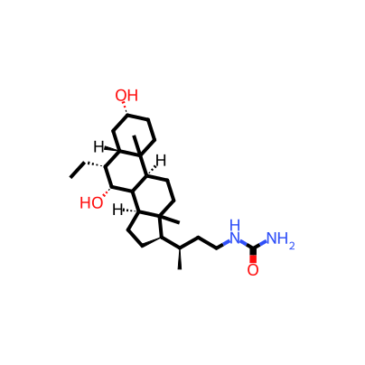 CC[C@H]1[C@@H](O)C2[C@@H]3CC[C@H]([C@H](C)CCNC(N)=O)C3(C)CC[C@@H]2C2(C)CC[C@@H](O)C[C@@H]12